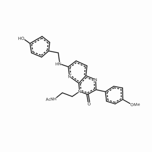 COc1ccc(-c2nc3ccc(NCc4ccc(O)cc4)nc3n(CCNC(C)=O)c2=O)cc1